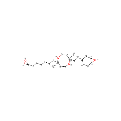 C[Si]1(CCCCCCC2CO2)CCO[Si](C)(CCC2CCC3OC3C2)CCO1